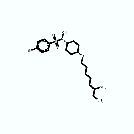 CCC(N)CCCCCO[C@H]1CC[C@H](N(C)S(=O)(=O)c2ccc(Br)cc2)CC1